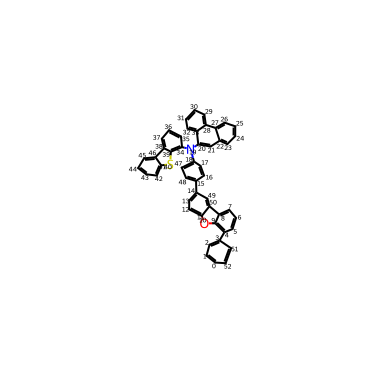 c1ccc(-c2cccc3c2oc2ccc(-c4ccc(N(c5cc6ccccc6c6ccccc56)c5cccc6c5sc5ccccc56)cc4)cc23)cc1